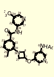 CC(=O)Nc1cncc(OC2CN(c3cc(C(=O)Nc4cncc(C(F)(F)F)c4)ccc3C)C2)c1